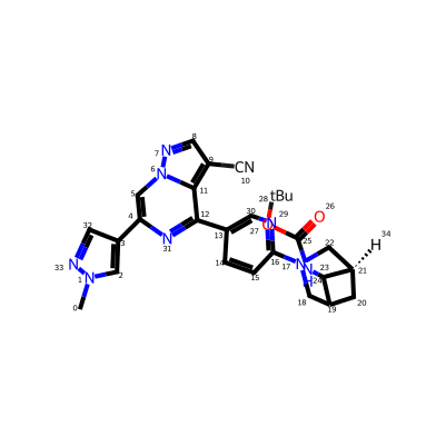 Cn1cc(-c2cn3ncc(C#N)c3c(-c3ccc(N4CC5C[C@H](C4)C5NC(=O)OC(C)(C)C)nc3)n2)cn1